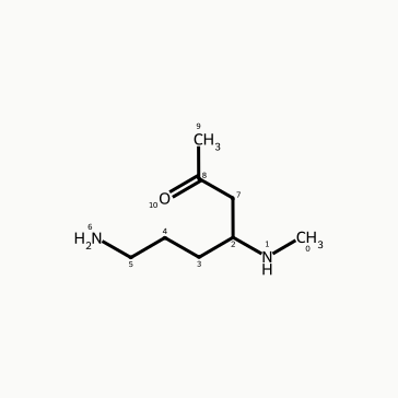 CNC(CCCN)CC(C)=O